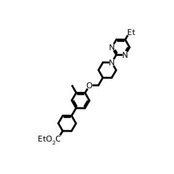 CCOC(=O)C1CC=C(c2ccc(OCC3CCN(c4ncc(CC)cn4)CC3)c(C)c2)CC1